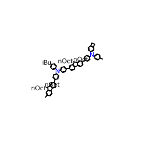 CCCCCCCCC1(CCCCCCCC)c2cc(C)ccc2-c2ccc(-c3ccc(N(c4ccc(-c5ccc6c(c5)C(CCCCCCCC)(CCCCCCCC)c5cc(-c7ccc(N(c8ccc(C)cc8)c8ccc9c(c8)CC9)cc7)ccc5-6)cc4)c4ccc(C(C)CC)cc4)cc3)cc21